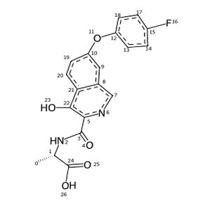 C[C@H](NC(=O)c1ncc2cc(Oc3ccc(F)cc3)ccc2c1O)C(=O)O